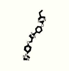 CCc1cnc(OC2CCC(c3nc(COc4ccc(-n5cncn5)cc4)cs3)CC2)nc1